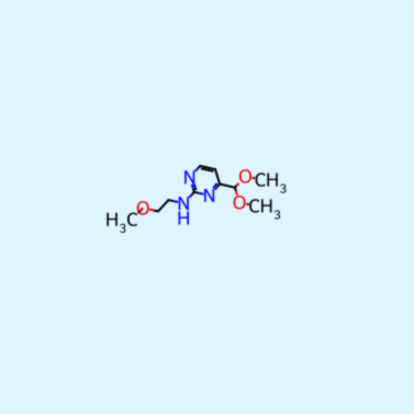 COCCNc1nccc(C(OC)OC)n1